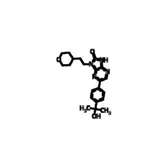 CC(C)(O)c1ccc(-c2cnc3[nH]c(=O)n(CCC4CCOCC4)c3n2)cc1